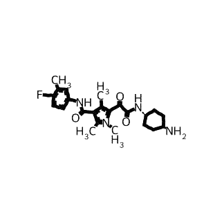 Cc1cc(NC(=O)c2c(C)c(C(=O)C(=O)N[C@H]3CC[C@H](N)CC3)n(C)c2C)ccc1F